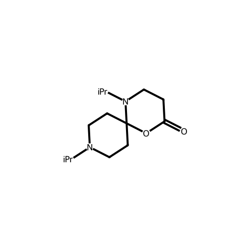 CC(C)N1CCC2(CC1)OC(=O)CCN2C(C)C